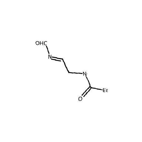 [CH2]CC(=O)[N]CC=NC=O